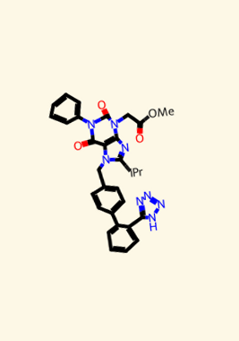 COC(=O)Cn1c(=O)n(-c2ccccc2)c(=O)c2c1nc(C(C)C)n2Cc1ccc(-c2ccccc2-c2nnn[nH]2)cc1